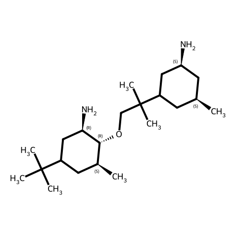 C[C@H]1CC(C(C)(C)CO[C@H]2[C@H](N)CC(C(C)(C)C)C[C@@H]2C)C[C@@H](N)C1